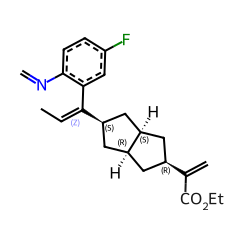 C=Nc1ccc(F)cc1/C(=C\C)[C@H]1C[C@H]2C[C@@H](C(=C)C(=O)OCC)C[C@H]2C1